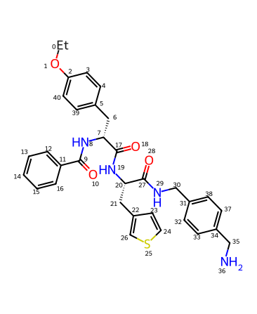 CCOc1ccc(C[C@@H](NC(=O)c2ccccc2)C(=O)N[C@@H](Cc2ccsc2)C(=O)NCc2ccc(CN)cc2)cc1